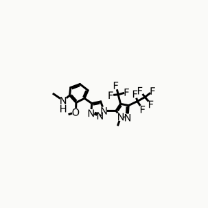 CNc1cccc(-c2cn(-c3c(C(F)(F)F)c(C(F)(F)C(F)(F)F)nn3C)nn2)c1OC